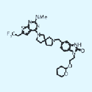 CNc1nc(N2CCC3(CCN(Cc4ccc5c(c4)[nH]c(=O)n5CCOC4CCCCO4)C3)C2)c2cc(CC(F)(F)F)sc2n1